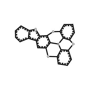 c1cc2c3c(c1)Oc1cc4c(oc5ccccc54)c4c1B3c1c(cccc1O4)O2